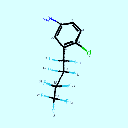 Nc1ccc(Cl)c(C(F)(F)C(F)(F)C(F)(F)C(F)(F)F)c1